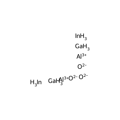 [Al+3].[Al+3].[GaH3].[GaH3].[InH3].[InH3].[O-2].[O-2].[O-2]